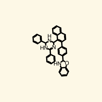 c1ccc(C2=NC(c3c(-c4ccc(C5Nc6ccccc6O5)cc4)ccc4ccccc34)NC(c3ccccc3)N2)cc1